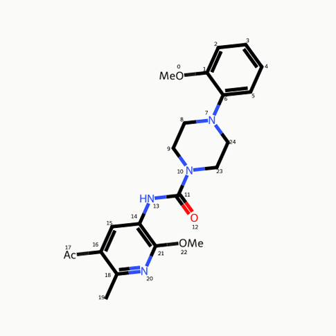 COc1ccccc1N1CCN(C(=O)Nc2cc(C(C)=O)c(C)nc2OC)CC1